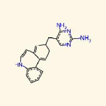 Nc1ncc(CC2C=C3C=CNc4ccccc4C3=CC2)c(N)n1